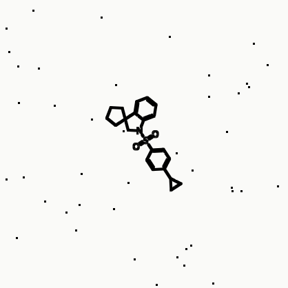 O=S(=O)(c1ccc(C2CC2)cc1)N1CC2(CCCC2)c2ccccc21